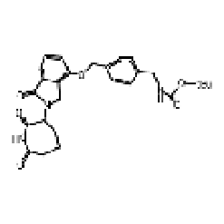 CC(C)(C)OC(=O)NCc1ccc(COc2cccc3c2CN(C2CCCC(=O)NC2=O)C3=O)cc1